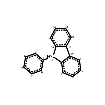 c1ccc([SiH]2c3ccccc3-c3ccccc32)cc1